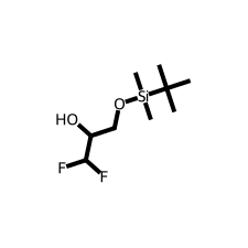 CC(C)(C)[Si](C)(C)OCC(O)C(F)F